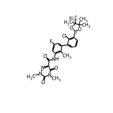 Cc1c(NC(=O)c2nn(C)c(=O)n(C)c2=O)cc(F)cc1-c1cccc(B2OC(C)(C)C(C)(C)O2)c1Cl